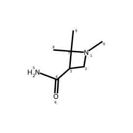 CN1CC(C(N)=O)C1(C)C